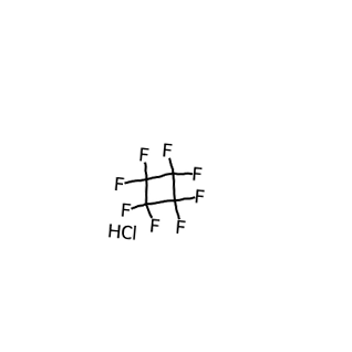 Cl.FC1(F)C(F)(F)C(F)(F)C1(F)F